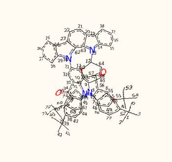 CC(C)(C)c1ccc(N(C2=CCC(n3c4ccccc4c4ccc5c6ccccc6n(-c6cc7c(=O)c8cc(C(C)(C)C)ccc8n8c9ccc(C(C)(C)C)cc9c(=O)c(c6)c78)c5c43)C=C2)c2ccc(C(C)(C)C)cc2)cc1